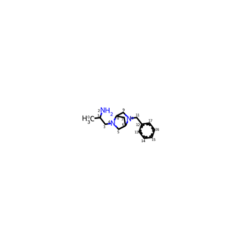 CC(N)CN1CC2CC1CN2Cc1ccccc1